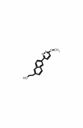 COc1ccc(-c2ccc3cc(CCO)ccc3c2)nn1